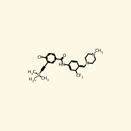 CN1CCN(C=C2C=CC(NC(=O)c3ccc(Cl)c(C#C[Si](C)(C)C)c3)=CC2C(F)(F)F)CC1